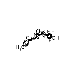 Cc1nc(COCC(=O)N2CCN(C)CC2)sc1-c1csc(-c2cc(F)c(O)c(F)c2F)n1